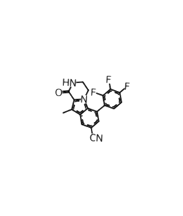 Cc1c2n(c3c(-c4ccc(F)c(F)c4F)cc(C#N)cc13)CCNC2=O